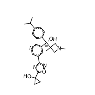 CC(C)c1ccc([C@](O)(c2cncc(-c3noc(C4(O)CC4)n3)c2)C2(C)CN(C)C2)cc1